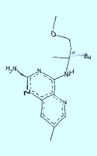 CCCC[C@](C)(COI)Nc1nc(N)nc2cc(C)cnc12